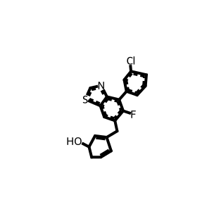 OC1C=C(Cc2cc3scnc3c(-c3cccc(Cl)c3)c2F)C=CC1